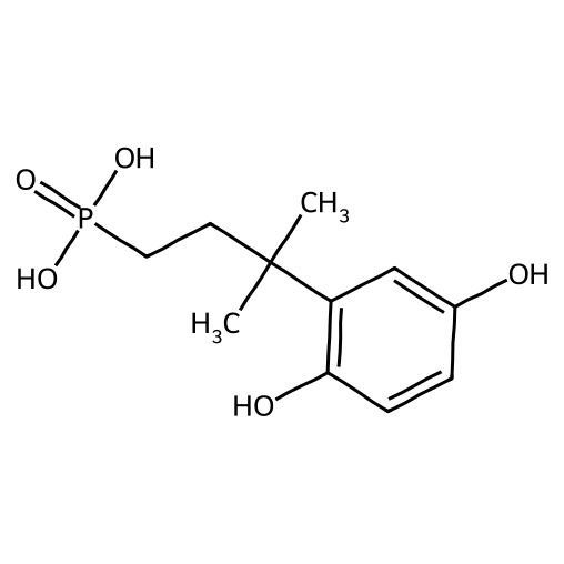 CC(C)(CCP(=O)(O)O)c1cc(O)ccc1O